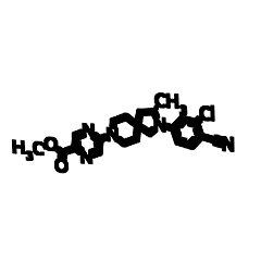 COC(=O)c1cnc(N2CCC3(CC2)C[C@H](C)N(c2ccc(C#N)c(Cl)c2)C3)cn1